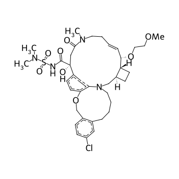 COCCO[C@H]1/C=C/CCN(C)C(=O)C[C@](O)(C(=O)NS(=O)(=O)N(C)C)c2ccc3c(c2)N(CCCCc2cc(Cl)ccc2CO3)C[C@@H]2CC[C@H]21